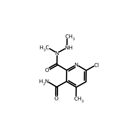 CNN(C)C(=O)c1nc(Cl)cc(C)c1C(N)=O